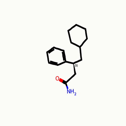 NC(=O)C[C@H](CC1CCCCC1)c1ccccc1